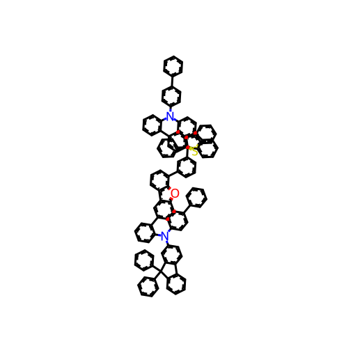 c1ccc(-c2ccc(N(c3ccc4c(c3)C(c3ccccc3)(c3ccccc3)c3ccccc3-4)c3ccccc3-c3ccc4oc5c(-c6cccc(C7(c8ccccc8)c8ccccc8-c8ccc(N(c9ccc(-c%10ccccc%10)cc9)c9ccccc9-c9ccc%10sc%11ccccc%11c%10c9)cc87)c6)cccc5c4c3)cc2)cc1